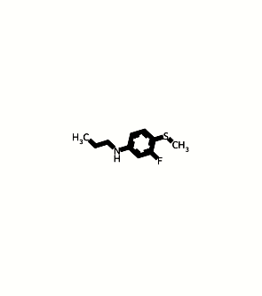 CCCNc1ccc(SC)c(F)c1